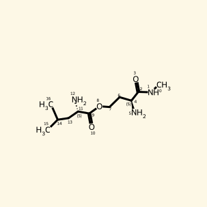 CNC(=O)[C@@H](N)CCOC(=O)[C@@H](N)CC(C)C